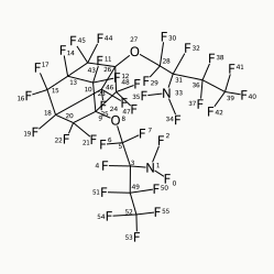 FN(F)C(F)(C(F)(F)OC12C(F)(F)C3(F)C(F)(F)C(F)(C1(F)F)C(F)(F)C(OC(F)(F)C(F)(N(F)F)C(F)(F)C(F)(F)F)(C3(F)F)C2(F)F)C(F)(F)C(F)(F)F